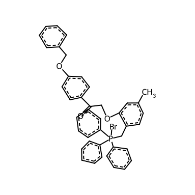 Cc1ccc(CP(Br)(c2ccccc2)(c2ccccc2)c2ccccc2)c(OCC(=O)c2ccc(OCc3ccccc3)cc2)c1